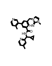 Cc1ccnc(C(NC(=O)c2cc(Cn3ccn(C)c3=N)cc(-c3cnccc3C)c2)C2CC2)c1